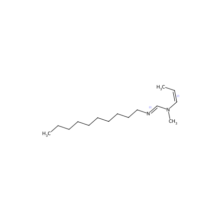 C/C=C\N(C)/C=N/CCCCCCCCCC